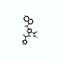 NC(=O)c1nc(Nc2cccc3cnccc23)sc1NC(=O)c1ccsc1